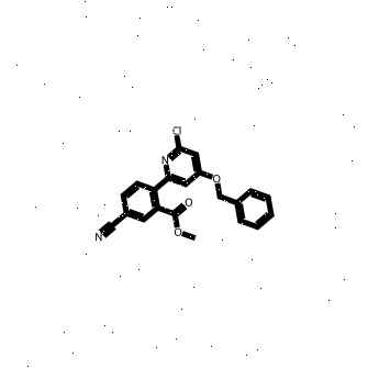 COC(=O)c1cc(C#N)ccc1-c1cc(OCc2ccccc2)cc(Cl)n1